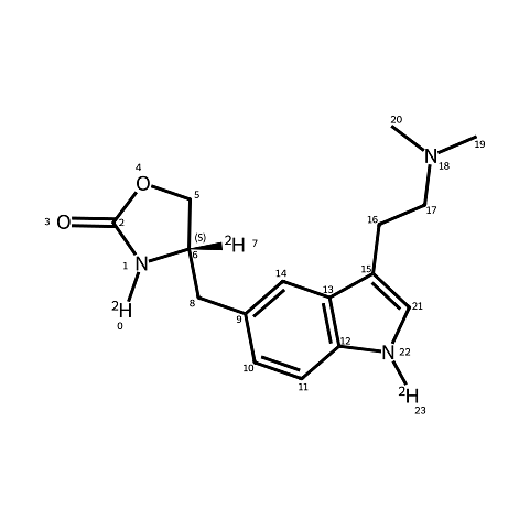 [2H]N1C(=O)OC[C@]1([2H])Cc1ccc2c(c1)c(CCN(C)C)cn2[2H]